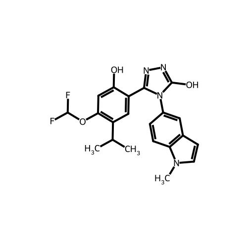 CC(C)c1cc(-c2nnc(O)n2-c2ccc3c(ccn3C)c2)c(O)cc1OC(F)F